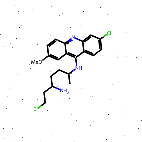 COc1ccc2nc3cc(Cl)ccc3c(NC(C)CCC(N)CCCl)c2c1